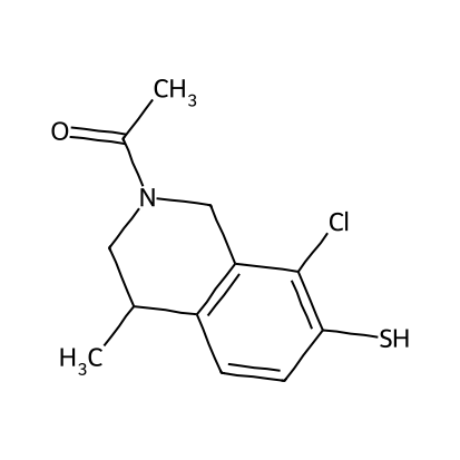 CC(=O)N1Cc2c(ccc(S)c2Cl)C(C)C1